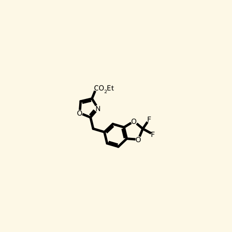 CCOC(=O)c1coc(Cc2ccc3c(c2)OC(F)(F)O3)n1